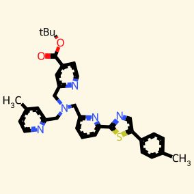 Cc1ccc(-c2cnc(-c3cccc(CN(Cc4cc(C)ccn4)Cc4cc(C(=O)OC(C)(C)C)ccn4)n3)s2)cc1